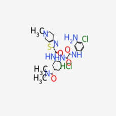 CN1CCc2nc(C(=O)N[C@@H]3C[C@@H](C(=O)N(C)C)CC[C@@H]3NC(=O)C(=O)Nc3ccc(Cl)c(N)c3)sc2C1.Cl